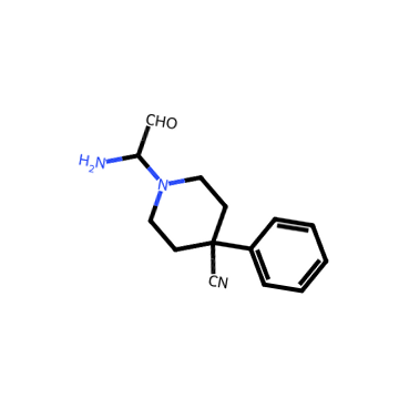 N#CC1(c2ccccc2)CCN(C(N)C=O)CC1